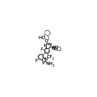 Nc1nc2c(-c3c(C(F)(F)F)cc4c(N5CC6CCC(C5)N6)nc(OCC5CCCCC5O)nc4c3F)ccc(F)c2s1